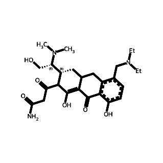 CCN(CC)Cc1ccc(O)c2c1CC1C[C@@H]([C@H](CO)N(C)C)C(C(=O)CC(N)=O)C(O)=C1C2=O